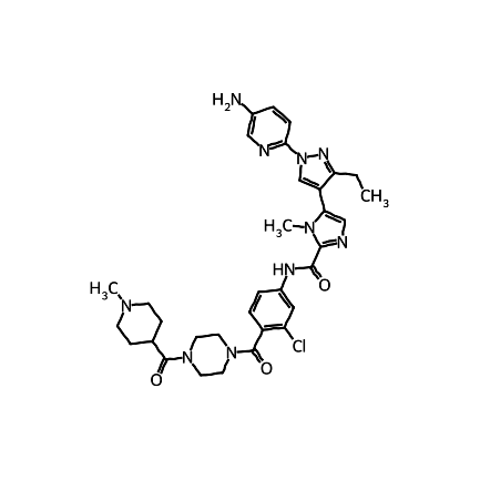 CCc1nn(-c2ccc(N)cn2)cc1-c1cnc(C(=O)Nc2ccc(C(=O)N3CCN(C(=O)C4CCN(C)CC4)CC3)c(Cl)c2)n1C